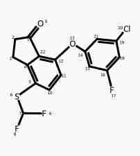 O=C1CCc2c(SC(F)F)ccc(Oc3cc(F)cc(Cl)c3)c21